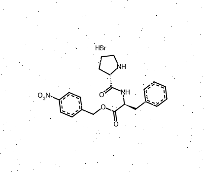 Br.O=C(N[C@@H](Cc1ccccc1)C(=O)OCc1ccc([N+](=O)[O-])cc1)[C@@H]1CCCN1